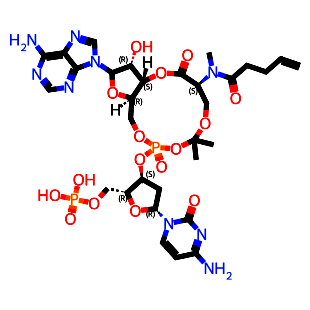 C=CCCC(=O)N(C)[C@H]1COC(C)(C)OP(=O)(O[C@H]2C[C@H](n3ccc(N)nc3=O)O[C@@H]2COP(=O)(O)O)OC[C@H]2OC(n3cnc4c(N)ncnc43)[C@H](O)[C@@H]2OC1=O